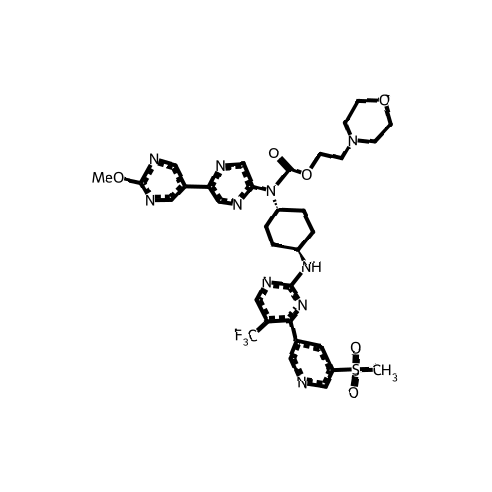 COc1ncc(-c2cnc(N(C(=O)OCCN3CCOCC3)[C@H]3CC[C@H](Nc4ncc(C(F)(F)F)c(-c5cncc(S(C)(=O)=O)c5)n4)CC3)cn2)cn1